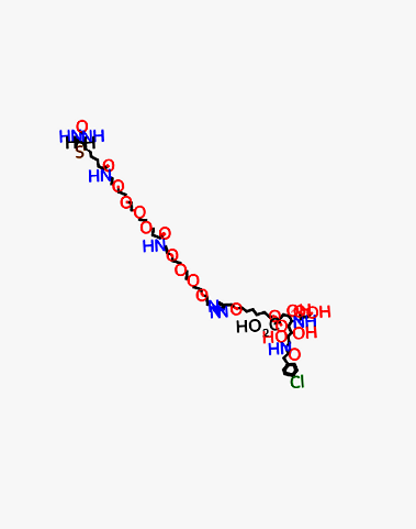 O=C(CCCC[C@H]1SC[C@H]2NC(=O)N[C@H]21)NCCOCCOCCOCCOCCC(=O)NCCOCCOCCOCCOCCn1cc(COCCCCCCO[C@]2(C(=O)O)C[C@H](O)[C@@H](NC(=O)CO)[C@H]([C@H](O)[C@H](O)CNC(=O)Cc3ccc(Cl)cc3)O2)nn1